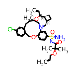 C=CCOC(C)(C)C(=O)N=S(N)(=O)c1ccc2c(c1)N(C[C@@H]1CC[C@H]1[C@H](C=C)OC)CCCCc1cc(Cl)ccc1CO2